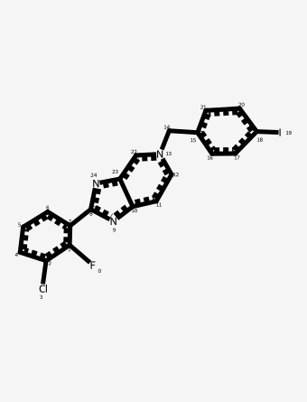 Fc1c(Cl)cccc1-c1nc2ccn(Cc3ccc(I)cc3)cc-2n1